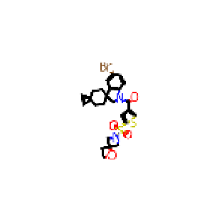 O=C(c1csc(S(=O)(=O)N2CC3(CCO3)C2)c1)N1CC2(CCC3(CC3)CC2)c2cc(Br)ccc21